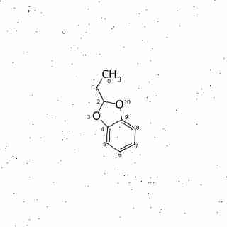 C[CH]C1Oc2ccccc2O1